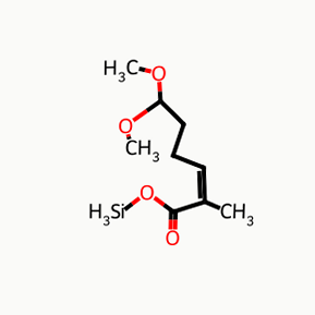 COC(CCC=C(C)C(=O)O[SiH3])OC